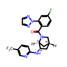 O=C(c1ccc(F)cc1-n1nccn1)N1C[C@@H]2C[C@@H](Nc3ccc(C(F)(F)F)cn3)[C@@H]1C2